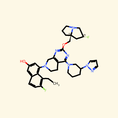 CCc1c(F)ccc2cc(O)cc(N3CCc4c(nc(OC[C@@]56CCCN5C[C@H](F)C6)nc4N4CCCC(n5cccn5)C4)C3)c12